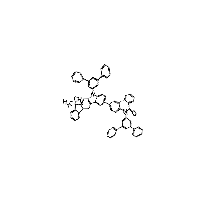 CC1(C)c2ccccc2-c2cc3c4cc(-c5ccc6c(c5)c5ccccc5c(=O)n6-c5cc(-c6ccccc6)cc(-c6ccccc6)c5)ccc4n(-c4cc(-c5ccccc5)cc(-c5ccccc5)c4)c3cc21